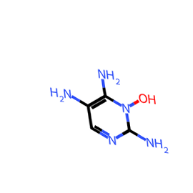 NC1=C(N)N(O)C(N)N=C1